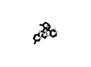 Cc1ccc(OCC23C(C)CC(CC2(c2cccnc2)n2nccn2)N3C=O)nc1